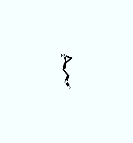 S=S=C/C=C1\CP1